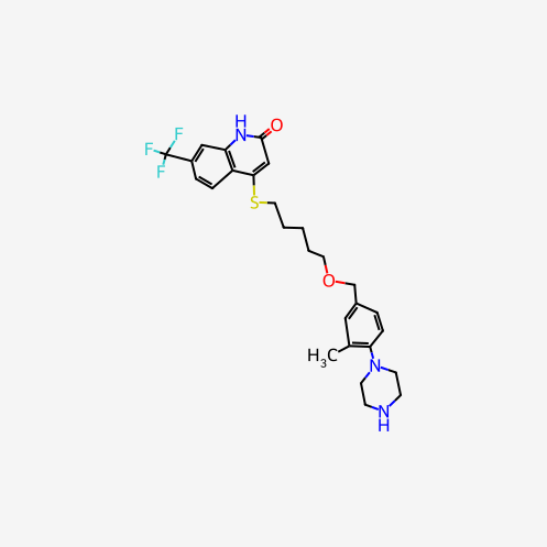 Cc1cc(COCCCCCSc2cc(=O)[nH]c3cc(C(F)(F)F)ccc23)ccc1N1CCNCC1